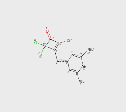 CC(C)(C)C1=CC(=CC2=C(Cl)C(=O)C2(Cl)Cl)C=C(C(C)(C)C)[Se]1